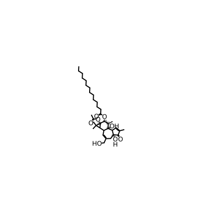 CCCCCCCCCCCCCC(=O)O[C@@H]1[C@@H](C)[C@@]2(O)C(C=C(CO)C[C@]3(O)C(=O)C(C)=CC23)C2C(C)(C)[C@@]21OC(C)=O